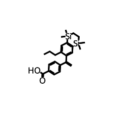 C=C(c1ccc(C(=O)O)cc1)c1cc2c(cc1CCC)[Si](C)(C)CC[Si]2(C)C